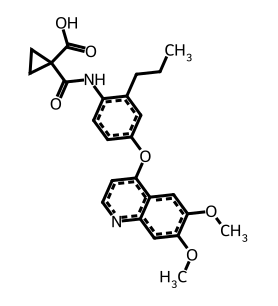 CCCc1cc(Oc2ccnc3cc(OC)c(OC)cc23)ccc1NC(=O)C1(C(=O)O)CC1